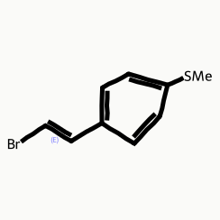 CSc1ccc(/C=C/Br)cc1